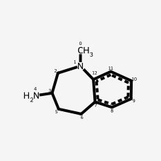 CN1CC(N)CCc2ccccc21